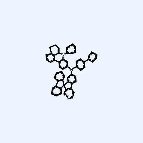 C1=C2c3c(cccc3-c3ccc(N(c4ccc(-c5ccccc5)cc4)c4ccc5c(c4)C4(c6ccccc6-c6ccccc64)c4ccccc4-5)cc3N2c2ccccc2)CC1